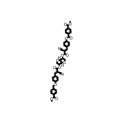 COC(=O)c1ccc(COc2ccc(/C=C(\C#N)C(=O)O[C@@H]3CO[C@H]4[C@@H]3OC[C@@H]4OC(=O)/C(C#N)=C/c3ccc(OC(=O)c4ccc(C(=O)OC)cc4)cc3)cc2)cc1